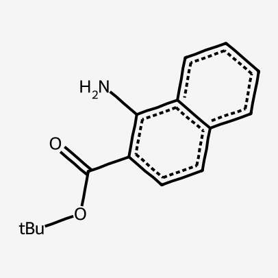 CC(C)(C)OC(=O)c1ccc2ccccc2c1N